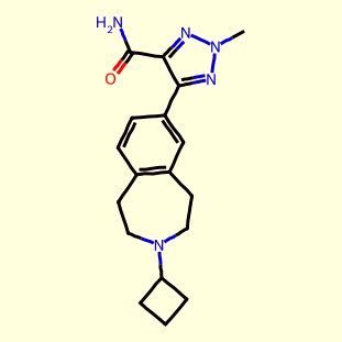 Cn1nc(C(N)=O)c(-c2ccc3c(c2)CCN(C2CCC2)CC3)n1